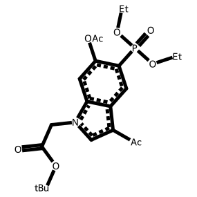 CCOP(=O)(OCC)c1cc2c(C(C)=O)cn(CC(=O)OC(C)(C)C)c2cc1OC(C)=O